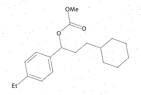 CCc1ccc(C(CCC2CCCCC2)OC(=O)OC)cc1